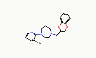 N#Cc1cccnc1N1CCCN(CC2COc3ccccc3O2)CC1